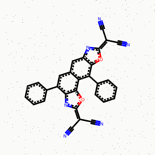 N#CC(C#N)=c1nc2cc3cc(-c4ccccc4)c4nc(=C(C#N)C#N)oc4c3c(-c3ccccc3)c2o1